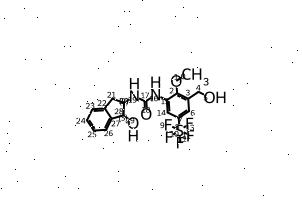 COc1c(CO)cc(S(F)(F)(F)(F)F)cc1NC(=O)N[C@@H]1Cc2ccccc2[C@@H]1O